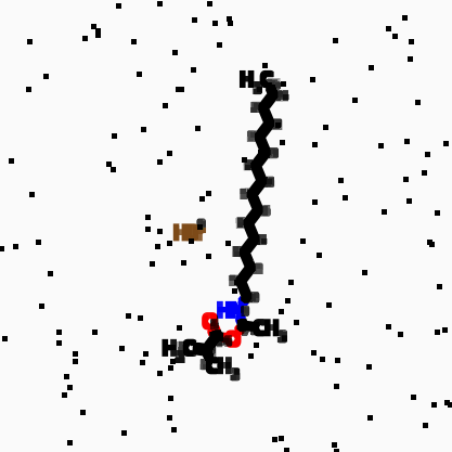 Br.C=C(C)C(=O)OC(C)NCCCCCCCCCCCCCCCC